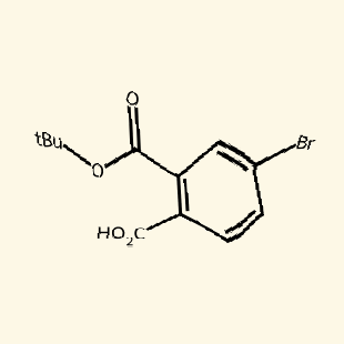 CC(C)(C)OC(=O)c1cc(Br)ccc1C(=O)O